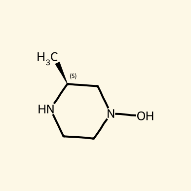 C[C@H]1CN(O)CCN1